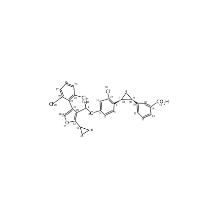 [2H]C(Oc1ccc([C@H]2C[C@H]2c2cccc(C(=O)O)c2)c(Cl)c1)c1c(-c2c(Cl)cccc2Cl)noc1C1CC1